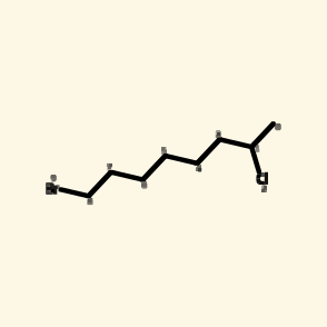 CC(Cl)CCCCCCBr